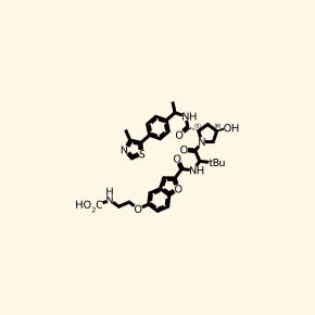 Cc1ncsc1-c1ccc(C(C)NC(=O)[C@@H]2C[C@@H](O)CN2C(=O)C(NC(=O)c2cc3cc(OCCNC(=O)O)ccc3o2)C(C)(C)C)cc1